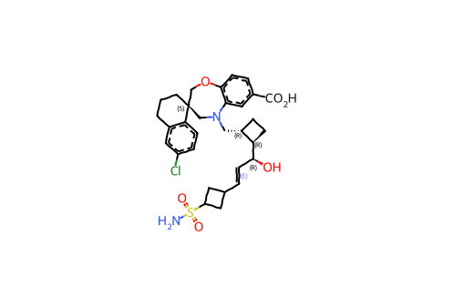 NS(=O)(=O)C1CC(/C=C/[C@H](O)[C@@H]2CC[C@H]2CN2C[C@@]3(CCCc4cc(Cl)ccc43)COc3ccc(C(=O)O)cc32)C1